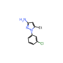 CCc1cc(N)nn1-c1cccc(Cl)c1